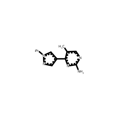 Cc1cnc(N)nc1-c1cnn(C(C)C)c1